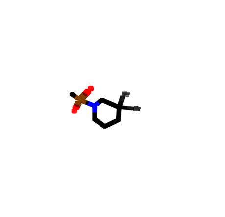 CC(C)C1(C(C)C)CCCN(S(C)(=O)=O)C1